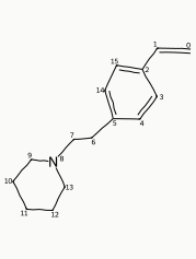 C=Cc1ccc(CCN2CCCCC2)cc1